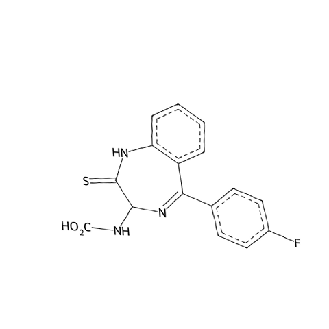 O=C(O)NC1N=C(c2ccc(F)cc2)c2ccccc2NC1=S